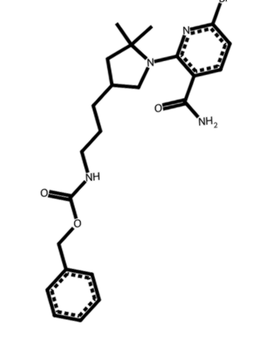 CC1(C)CC(CCCNC(=O)OCc2ccccc2)CN1c1nc(Br)ccc1C(N)=O